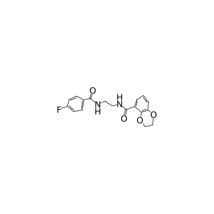 O=C(NCCNC(=O)c1cccc2c1OCCO2)c1ccc(F)cc1